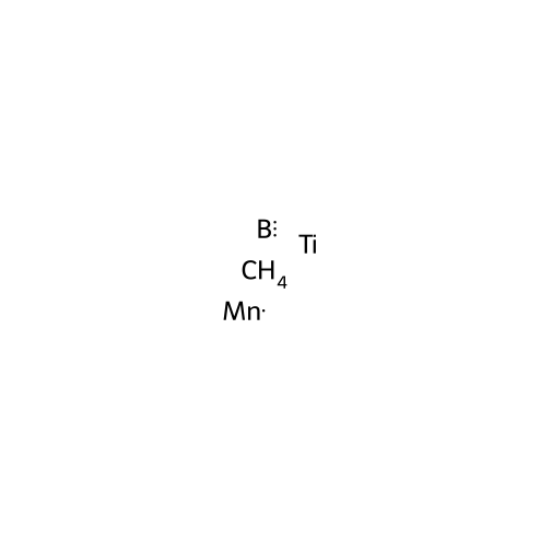 C.[B].[Mn].[Ti]